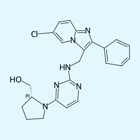 OC[C@H]1CCCN1c1ccnc(NCc2c(-c3ccccc3)nc3ccc(Cl)cn23)n1